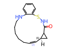 O=C1NSc2ccccc2NCCCCC/C=C\[C@@H]2CC12